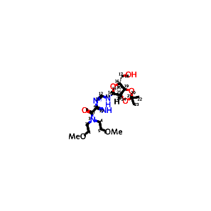 COCCN(CCOC)C(=O)C(=N)/N=C\N[C@@H]1O[C@H](CO)C2OC(C)(C)O[C@@H]21